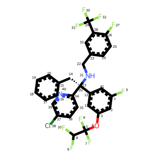 Fc1cc(OC(F)(F)C(F)F)cc([C@](Cc2ccccc2)(NCc2ccc(F)c(C(F)(F)F)c2)c2ccc(Cl)cn2)c1